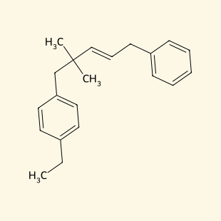 CCc1ccc(CC(C)(C)C=CCc2ccccc2)cc1